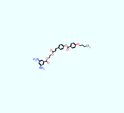 Nc1cc(N)cc(C(=O)OCCOC(=O)C=Cc2ccc(OC(=O)c3ccc(OCCCC(F)(F)F)cc3)cc2)c1